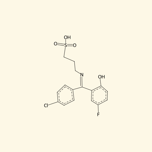 O=S(=O)(O)CCC/N=C(\c1ccc(Cl)cc1)c1cc(F)ccc1O